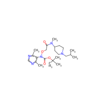 Cc1ncnc(C)c1N(OCC(=O)N(C)C1CCN(CC(C)C)CC1)C(=O)OC(C)(C)C